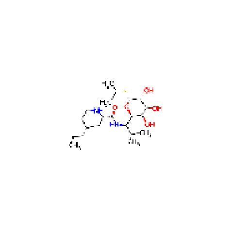 CCC[C@@H]1CCN[C@H](C(=O)N[C@H](C(C)C)[C@H]2O[C@H](SC(C)C)[C@H](O)[C@@H](O)[C@H]2O)C1